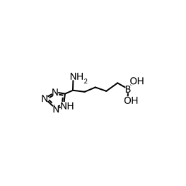 NC(CCCCB(O)O)c1nnn[nH]1